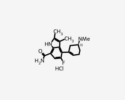 CN[C@H]1CCC=C(c2c(F)cc(C(N)=O)c3[nH]c(C)c(C)c23)C1.Cl